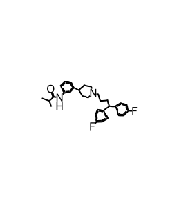 CC(C)C(=O)Nc1cccc(C2CCN(CCCC(c3ccc(F)cc3)c3ccc(F)cc3)CC2)c1